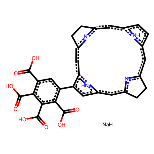 O=C(O)c1cc(-c2cc3cc4nc(cc5ccc(cc6nc(cc2[nH]3)CC6)[nH]5)CC4)c(C(=O)O)c(C(=O)O)c1C(=O)O.[NaH]